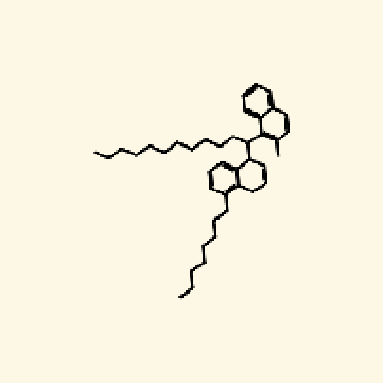 CCCCCCCCCCCC(c1c(C)ccc2ccccc12)C1C=CCc2c(CCCCCCCC)cccc21